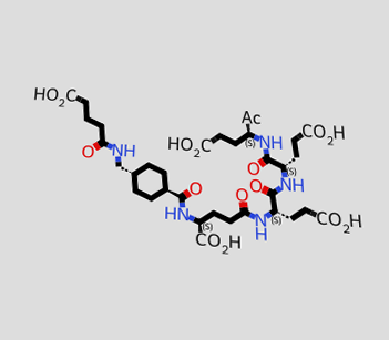 CC(=O)[C@H](CCC(=O)O)NC(=O)[C@H](CCC(=O)O)NC(=O)[C@H](CCC(=O)O)NC(=O)CC[C@H](NC(=O)[C@H]1CC[C@H](CNC(=O)CCCC(=O)O)CC1)C(=O)O